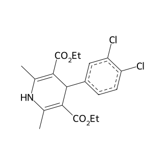 CCOC(=O)C1=C(C)NC(C)=C(C(=O)OCC)C1c1ccc(Cl)c(Cl)c1